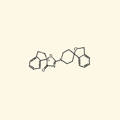 O=C1N=C(N2CCC3(CC2)OCc2ccccc23)O[C@]12CCc1ccccc12